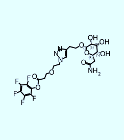 NC(=O)C[C@H]1O[C@H](OCCc2cn(CCOCCC(=O)Oc3c(F)c(F)c(F)c(F)c3F)nn2)[C@@H](O)[C@@H](O)[C@@H]1O